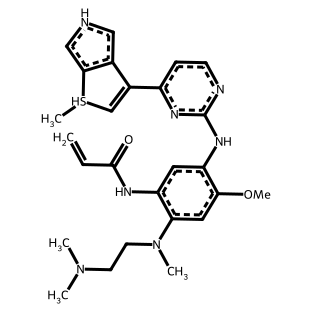 C=CC(=O)Nc1cc(Nc2nccc(C3=C[SH](C)c4c[nH]cc43)n2)c(OC)cc1N(C)CCN(C)C